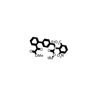 CCOC(=O)c1cccc([N+](=O)[O-])c1N(Cc1ccc(-c2ccccc2C(=O)C(=O)OC)cc1)C(=O)OC(C)(C)C